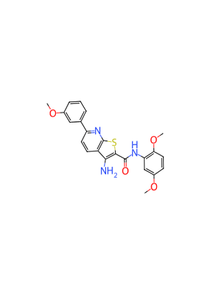 COc1cccc(-c2ccc3c(N)c(C(=O)Nc4cc(OC)ccc4OC)sc3n2)c1